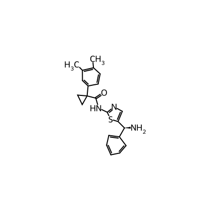 Cc1ccc(C2(C(=O)Nc3ncc([C@@H](N)c4ccccc4)s3)CC2)cc1C